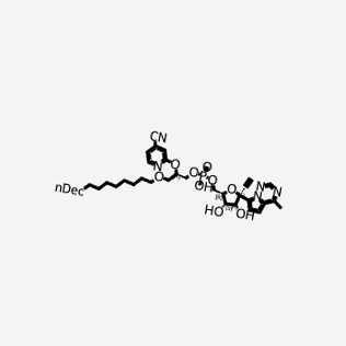 C#C[C@@]1(c2ccc3c(C)ncnn23)O[C@H](COP(=O)(O)OC[C@@H](COCCCCCCCCCCCCCCCCCC)Oc2cc(C#N)ccn2)[C@@H](O)[C@H]1O